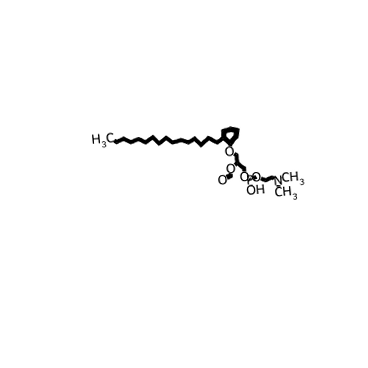 CCCCCCCCCCCCCCCCc1ccccc1OCC(COP(O)OCCN(C)C)OC=O